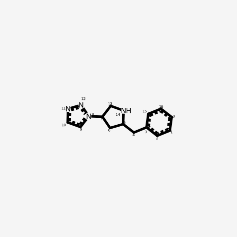 c1ccc(CC2CC(n3ccnn3)CN2)cc1